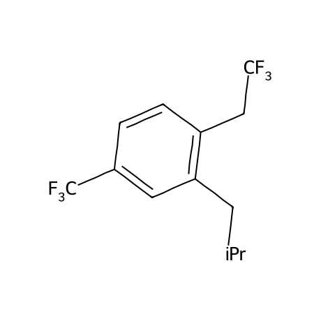 CC(C)Cc1cc(C(F)(F)F)ccc1CC(F)(F)F